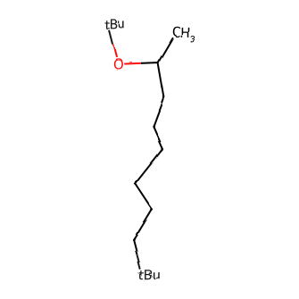 CC(CCCCCCC(C)(C)C)OC(C)(C)C